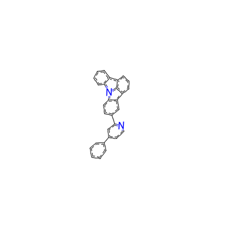 c1ccc(-c2ccnc(-c3ccc4c(c3)c3cccc5c6ccccc6n4c53)c2)cc1